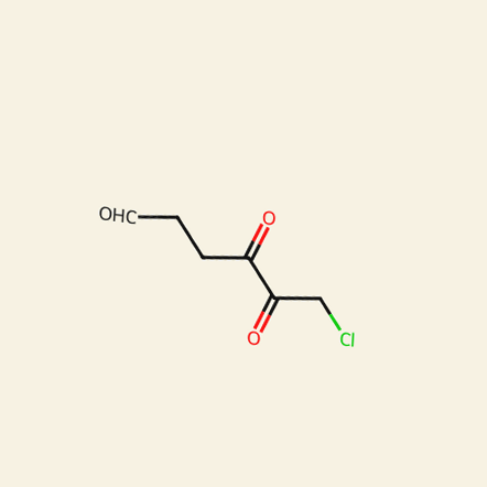 O=CCCC(=O)C(=O)CCl